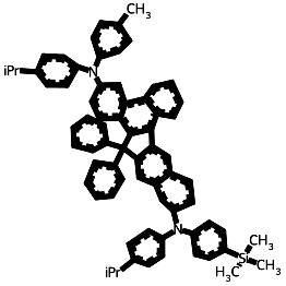 Cc1ccc(N(c2ccc(C(C)C)cc2)c2ccc3c4c(c5ccccc5c3c2)-c2cc3ccc(N(c5ccc(C(C)C)cc5)c5ccc([Si](C)(C)C)cc5)cc3cc2C4(c2ccccc2)c2ccccc2)cc1